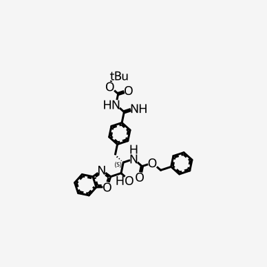 CC(C)(C)OC(=O)NC(=N)c1ccc(C[C@H](NC(=O)OCc2ccccc2)C(O)c2nc3ccccc3o2)cc1